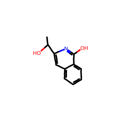 CC(O)c1cc2ccccc2c(O)n1